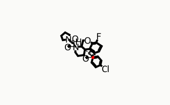 O=S(=O)(N1CCCC1)N1CCC[C@]2(S(=O)(=O)c3ccc(Cl)cc3)c3c(F)ccc(F)c3OC[C@H]12